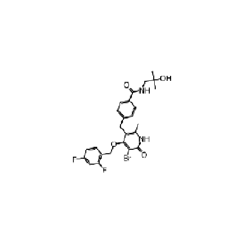 Cc1[nH]c(=O)c(Br)c(OCc2ccc(F)cc2F)c1Cc1ccc(C(=O)NCC(C)(C)O)cc1